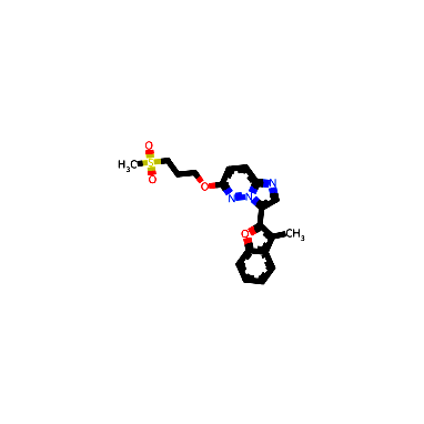 Cc1c(-c2cnc3ccc(OCCCS(C)(=O)=O)nn23)oc2ccccc12